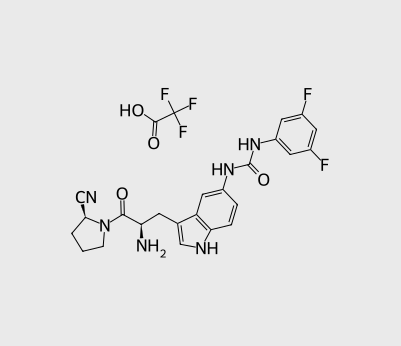 N#C[C@@H]1CCCN1C(=O)[C@H](N)Cc1c[nH]c2ccc(NC(=O)Nc3cc(F)cc(F)c3)cc12.O=C(O)C(F)(F)F